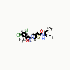 CC(C)CCC(C)NC(=O)c1cc2c(s1)CN(C1=NOC(c3cc(Cl)cc(Cl)c3)(C(F)(F)F)C1)C2